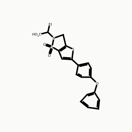 CCC(C(=O)O)N1Cc2sc(-c3ccc(Oc4ccccc4)cc3)cc2S1(=O)=O